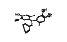 Cc1cc(O)c(O)cc1C(Cc1ccccc1)c1cc(O)c(O)cc1C